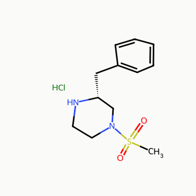 CS(=O)(=O)N1CCN[C@H](Cc2ccccc2)C1.Cl